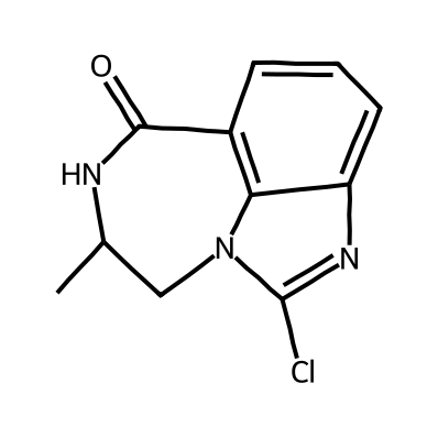 CC1Cn2c(Cl)nc3cccc(c32)C(=O)N1